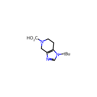 CC(C)(C)n1cnc2c1CCN(C(=O)O)C2